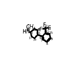 CNC1CCC(c2ccccc2C(F)(F)F)CC1